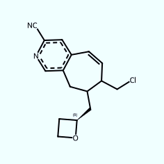 N#Cc1cc2c(cn1)CC(C[C@@H]1CCO1)C(CCl)C=C2